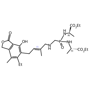 CCOC(=O)[C@H](C)NP(=O)(CNC/C(C)=C/Cc1c(O)c2c(c(C)c1CC)COC2=O)N[C@H](C)C(=O)OCC